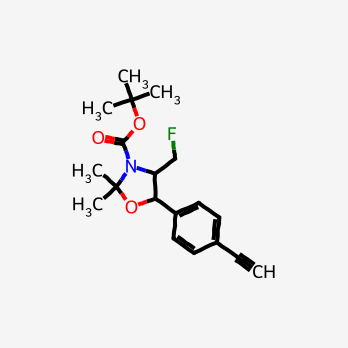 C#Cc1ccc(C2OC(C)(C)N(C(=O)OC(C)(C)C)C2CF)cc1